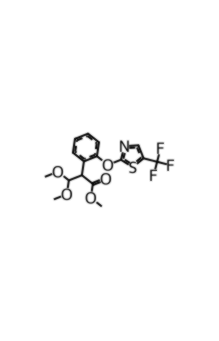 COC(=O)C(c1ccccc1Oc1ncc(C(F)(F)F)s1)C(OC)OC